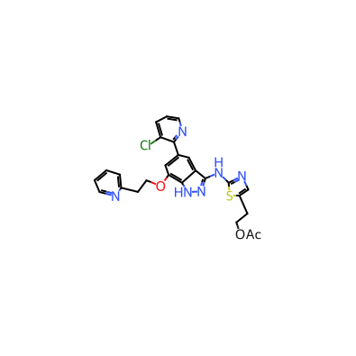 CC(=O)OCCc1cnc(Nc2n[nH]c3c(OCCc4ccccn4)cc(-c4ncccc4Cl)cc23)s1